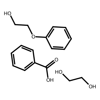 O=C(O)c1ccccc1.OCCO.OCCOc1ccccc1